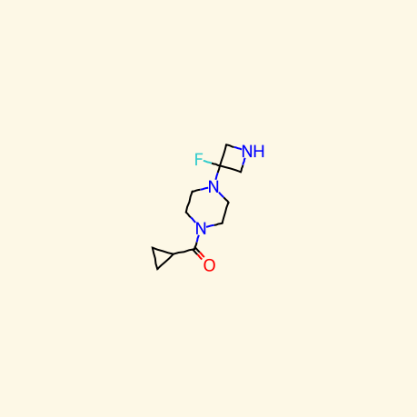 O=C(C1CC1)N1CCN(C2(F)CNC2)CC1